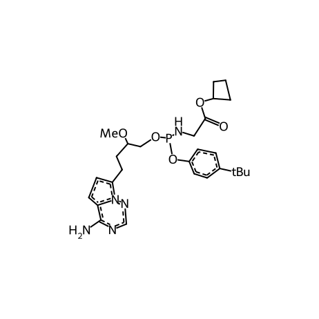 COC(CCc1ccc2c(N)ncnn12)COP(NCC(=O)OC1CCC1)Oc1ccc(C(C)(C)C)cc1